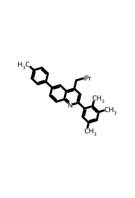 Cc1ccc(-c2ccc3nc(-c4cc(C)cc(C)c4C)cc(CC(C)C)c3c2)cc1